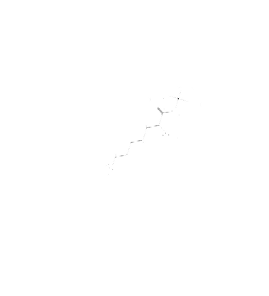 CC(C)(C)OC(=O)C(N)CCCCCN